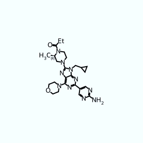 CCC(=O)N1CCN(c2nc3c(N4CCOCC4)nc(-c4cnc(N)nc4)nc3n2CC2CC2)C[C@H]1C